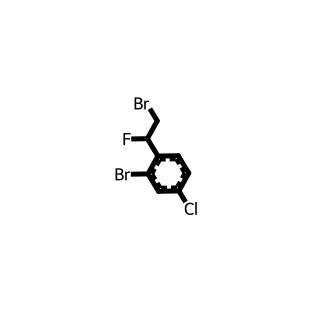 FC(CBr)c1ccc(Cl)cc1Br